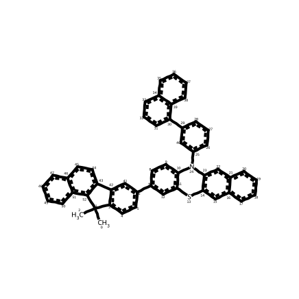 CC1(C)c2ccc(-c3ccc4c(c3)Sc3cc5ccccc5cc3N4c3cccc(-c4cccc5ccccc45)c3)cc2-c2ccc3ccccc3c21